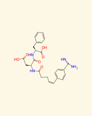 N=C(N)c1ccc(/C=C\CCC(=O)N[C@@H](CC(=O)O)C(=O)N[C@@H](Cc2ccccc2)C(=O)O)cc1